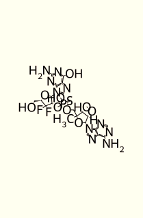 CC1(COP(O)(=S)O[C@H]2[C@H](n3cnc4c(O)nc(N)nc43)O[C@H](CO)C2(F)F)O[C@@H](n2cnc3c(N)ncnc32)[C@@H]2OO[C@@H]21